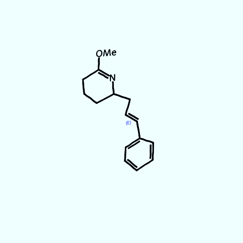 COC1=NC(C/C=C/c2ccccc2)CCC1